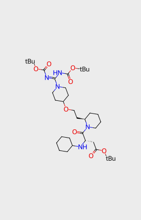 CC(C)(C)OC(=O)C[C@H](NC1CCCCC1)C(=O)N1CCCC[C@@H]1CCOC1CCN(C(=NC(=O)OC(C)(C)C)NC(=O)OC(C)(C)C)CC1